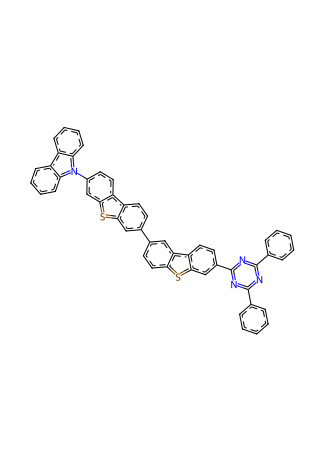 c1ccc(-c2nc(-c3ccccc3)nc(-c3ccc4c(c3)sc3ccc(-c5ccc6c(c5)sc5cc(-n7c8ccccc8c8ccccc87)ccc56)cc34)n2)cc1